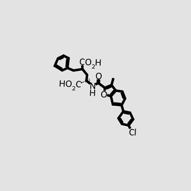 Cc1c(C(=O)N[C@@H](CC(Cc2ccccc2)C(=O)O)C(=O)O)oc2cc(-c3ccc(Cl)cc3)ccc12